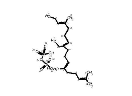 CC(C)=CCCC(C)=CCCC(=CCCC(C)=CCO)CO.O=S(=O)(O)OS(=O)(=O)O